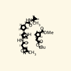 COC(=O)C1CC/C(=C/C(=O)OC(C)(C)C)C1.Cc1cc(CC(=O)Nc2cc([C@H]3CC[C@@H](CC(=O)NC4(C)CC4)C3)[nH]n2)on1